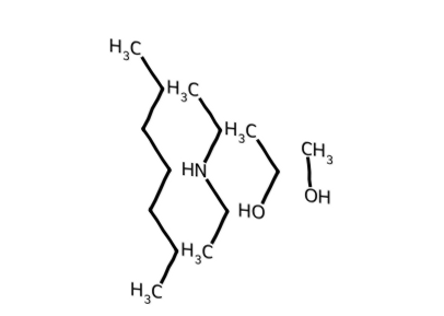 CCCCCCC.CCNCC.CCO.CO